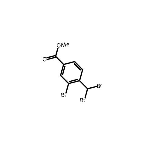 COC(=O)c1ccc(C(Br)Br)c(Br)c1